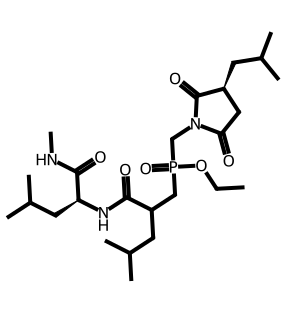 CCOP(=O)(CC(CC(C)C)C(=O)N[C@@H](CC(C)C)C(=O)NC)CN1C(=O)C[C@H](CC(C)C)C1=O